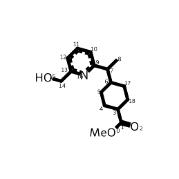 COC(=O)C1CCC(C(C)c2cccc(CO)n2)CC1